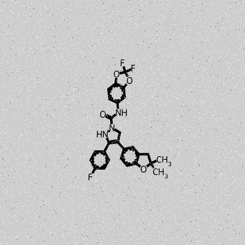 CC1(C)Cc2cc(C3=C(c4ccc(F)cc4)NN(C(=O)Nc4ccc5c(c4)OC(F)(F)O5)C3)ccc2O1